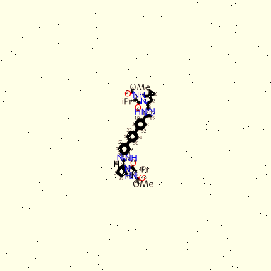 COC(=O)N[C@H](C(=O)N1CC2(CC2)CC1c1ncc(-c2ccc(-c3ccc(-c4ccc5nc([C@@H]6[C@H]7CC[C@H](C7)N6C(=O)[C@@H](NC(=O)OC)C(C)C)[nH]c5c4)cc3)cc2)[nH]1)C(C)C